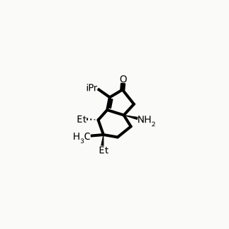 CC[C@@H]1C2=C(C(C)C)C(=O)C[C@]2(N)CC[C@@]1(C)CC